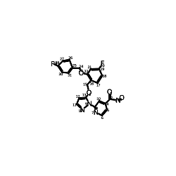 O=NC(=O)c1ccnc(-n2nccc2OCc2ccc(F)cc2OCc2ccc(F)cc2)c1